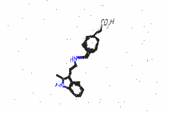 CC1Nc2ccccc2C1CCNCc1ccc(/C=C/C(=O)O)cc1